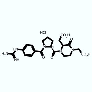 Cl.N=C(N)Nc1ccc(C(=O)N2CCC[C@H]2C(=O)N2CCN(CC(=O)O)C(=O)C2CC(=O)O)cc1